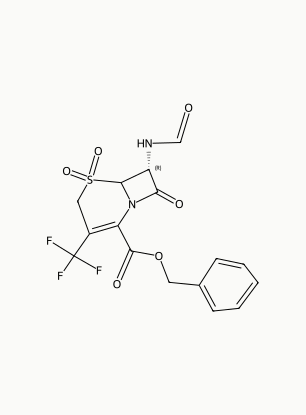 O=CN[C@@H]1C(=O)N2C(C(=O)OCc3ccccc3)=C(C(F)(F)F)CS(=O)(=O)C12